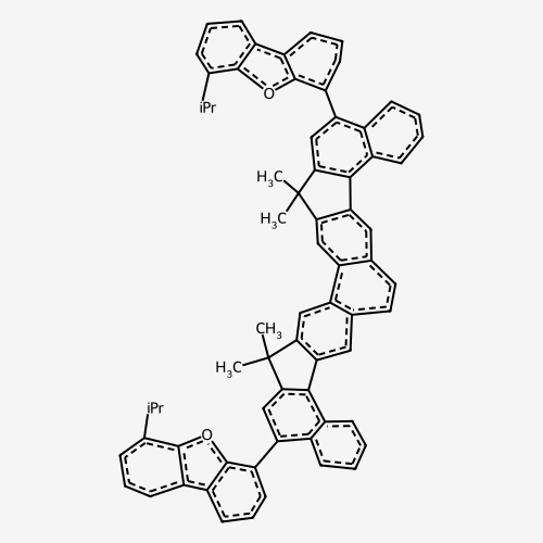 CC(C)c1cccc2c1oc1c(-c3cc4c(c5ccccc35)-c3cc5ccc6cc7c(cc6c5cc3C4(C)C)C(C)(C)c3cc(-c4cccc5c4oc4c(C(C)C)cccc45)c4ccccc4c3-7)cccc12